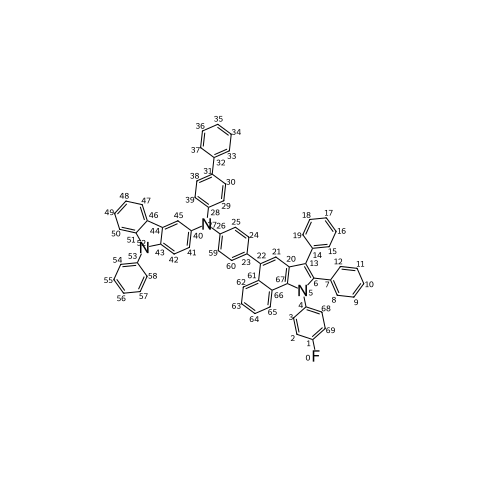 Fc1ccc(-n2c(-c3ccccc3)c(-c3ccccc3)c3cc(-c4ccc(N(c5ccc(-c6ccccc6)cc5)c5ccc6c(c5)c5ccccc5n6-c5ccccc5)cc4)c4ccccc4c32)cc1